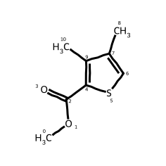 COC(=O)c1scc(C)c1C